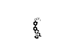 CC(CN1Cc2cc(-c3ccc(OC(F)(F)F)cc3)ccc2C=N1)n1cccn1